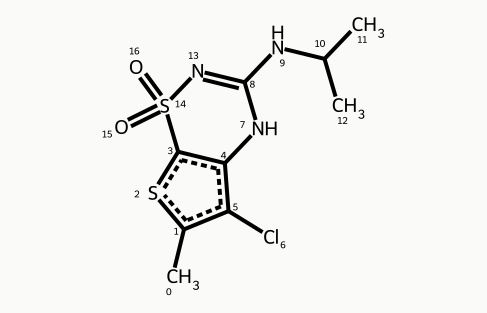 Cc1sc2c(c1Cl)NC(NC(C)C)=NS2(=O)=O